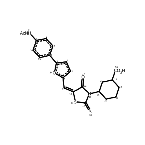 CC(=O)Nc1ccc(-c2ccc(/C=C3/SC(=S)N(C4CCCC(C(=O)O)C4)C3=O)o2)cc1